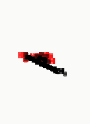 CCCCCCCCCCCCCCCCCC(=O)O.OCC(O)[C@H]1OC[C@H](O)[C@H]1O